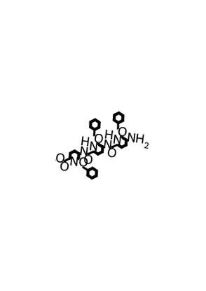 COC(=O)c1ccc(NC(=O)c2ccc(NC(=O)c3ccc(N)c(OCc4ccccc4)n3)c(OCc3ccccc3)n2)c(OCc2ccccc2)n1